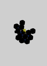 Cc1cc2c3c(c1)N1c4cc5ccccc5cc4N4c5cc(N(c6ccccc6)c6ccccc6)cc6c5B(c5ccc(-c7ccccc7)cc5N6c5ccccc5)c5sc(c1c54)B3c1ccc(-c3ccccc3)cc1N2c1ccccc1